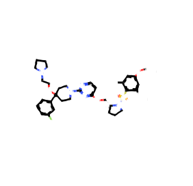 COc1cc(C)c(S(=O)(=O)N2CCC[C@H]2COc2ccnc(N3CCC(OCCN4CCCC4)(c4cccc(F)c4)CC3)n2)c(C)c1